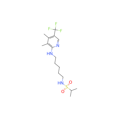 Cc1c(C(F)(F)F)cnc(NCCCCCNS(=O)(=O)C(C)C)c1C